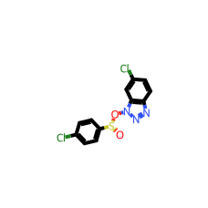 O=S(On1nnc2ccc(Cl)cc21)c1ccc(Cl)cc1